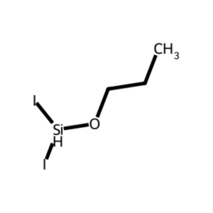 CCCO[SiH](I)I